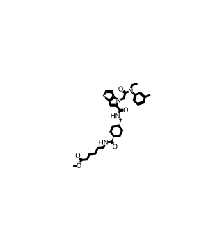 CCN(C(=O)Cn1c(C(=O)NC[C@H]2CC[C@H](C(=O)NCCCCCC(=O)OC)CC2)cc2sccc21)c1cccc(C)c1